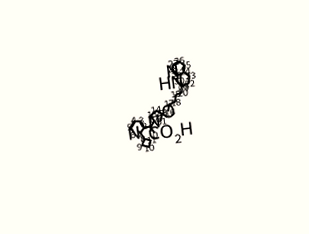 O=C(O)C(c1cccnc1C1CCC1)N1CC[C@@H](OCCCC[C@@H]2CCc3cccnc3N2)C1